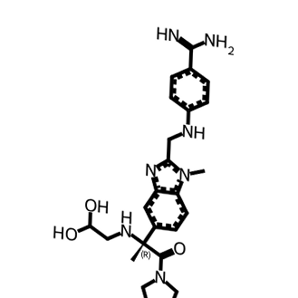 Cn1c(CNc2ccc(C(=N)N)cc2)nc2cc([C@@](C)(NCC(O)O)C(=O)N3CCCC3)ccc21